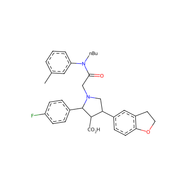 CCCCN(C(=O)CN1CC(c2ccc3c(c2)CCO3)C(C(=O)O)C1c1ccc(F)cc1)c1cccc(C)c1